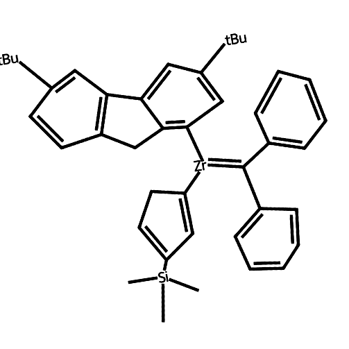 CC(C)(C)c1ccc2c(c1)-c1cc(C(C)(C)C)c[c]([Zr]([C]3=CC([Si](C)(C)C)=CC3)=[C](c3ccccc3)c3ccccc3)c1C2